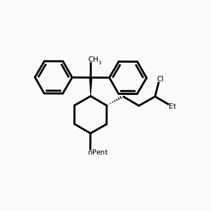 CCCCCC1CC[C@@H](C(C)(c2ccccc2)c2ccccc2)[C@H](CCC(Cl)CC)C1